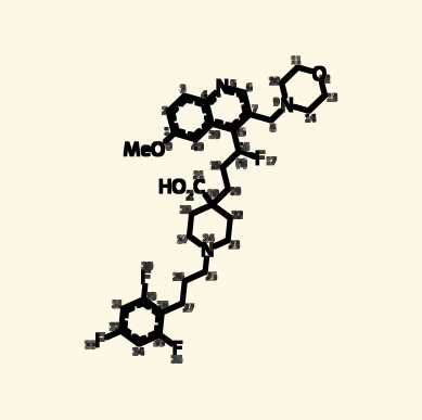 COc1ccc2ncc(CN3CCOCC3)c([C@@H](F)CCC3(C(=O)O)CCN(CCCc4c(F)cc(F)cc4F)CC3)c2c1